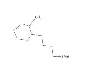 CSCCCCC1CCCCC1C